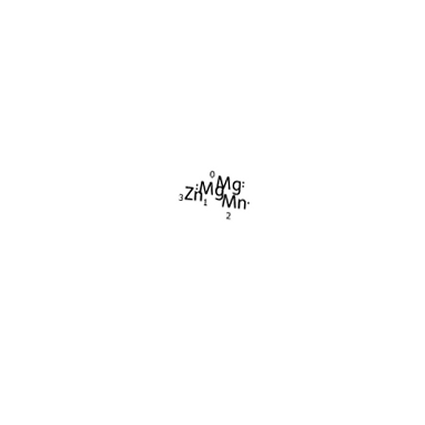 [Mg].[Mg].[Mn].[Zn]